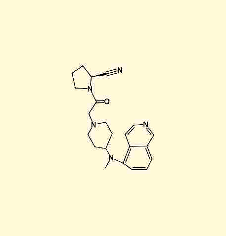 CN(c1cccc2cnccc12)C1CCN(CC(=O)N2CCC[C@H]2C#N)CC1